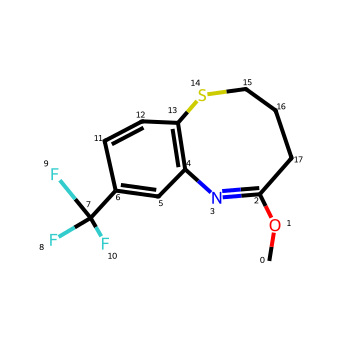 COC1=Nc2cc(C(F)(F)F)ccc2SCCC1